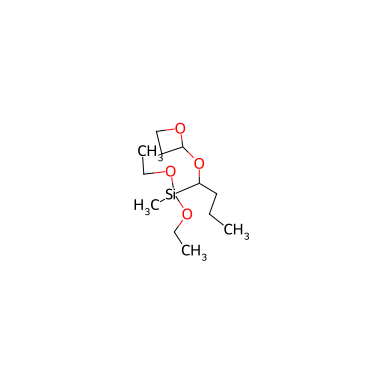 CCCC(OC1CCO1)[Si](C)(OCC)OCC